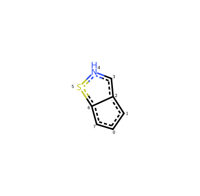 c1cc2c[nH]sc-2c1